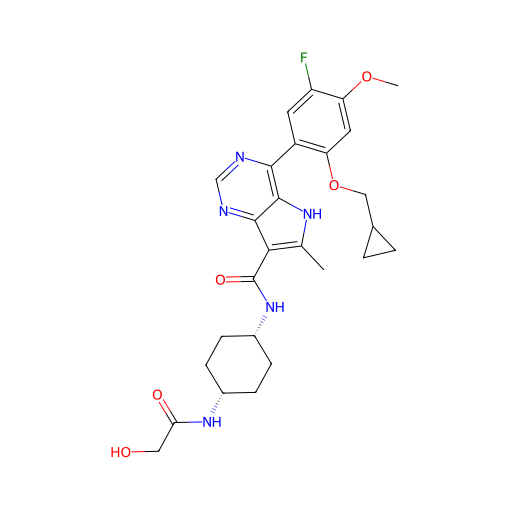 COc1cc(OCC2CC2)c(-c2ncnc3c(C(=O)N[C@H]4CC[C@@H](NC(=O)CO)CC4)c(C)[nH]c23)cc1F